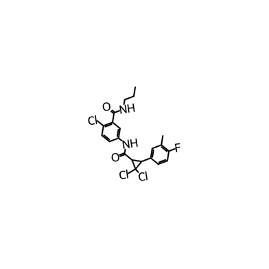 CCCNC(=O)c1cc(NC(=O)C2C(c3ccc(F)c(C)c3)C2(Cl)Cl)ccc1Cl